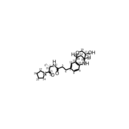 C[C@H](NC(=O)CCc1ccc2c(c1)[C@H]1C[C@@H](N2)[C@H](O)CO1)C(=O)N1CCCC1